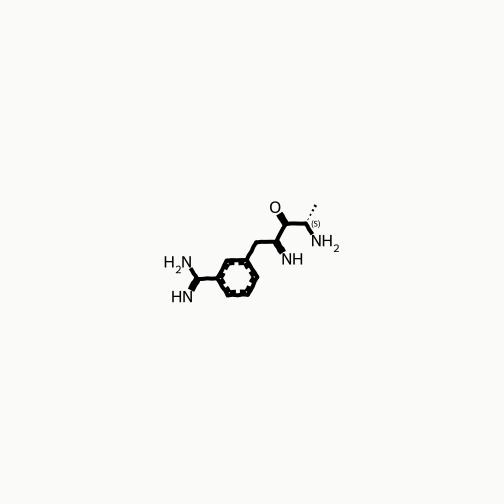 C[C@H](N)C(=O)C(=N)Cc1cccc(C(=N)N)c1